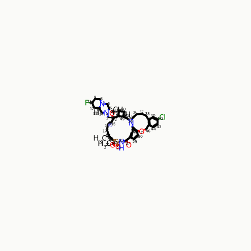 CO[C@@]1(CN2CCN3CC[C@H](F)C[C@H]3C2)/C=C/C[C@H](C)[C@@H](C)S(=O)(=O)NC(=O)c2ccc3c(c2)N(CCCCc2cc(Cl)ccc2CO3)C[C@@H]2CC[C@H]21